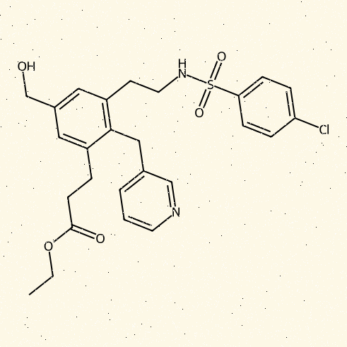 CCOC(=O)CCc1cc(CO)cc(CCNS(=O)(=O)c2ccc(Cl)cc2)c1Cc1cccnc1